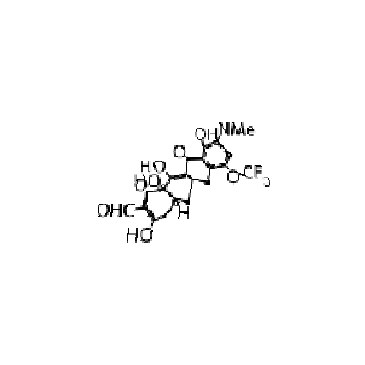 CNc1cc(OC(F)(F)F)c2c(c1O)C(=O)C1=C(O)[C@]3(O)C(=O)C(C=O)=C(O)C[C@@H]3CC1C2